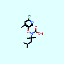 Cc1cc(Cl)ncc1ON(C(=O)O)C(C)(C)CC(C)C